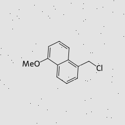 COc1cccc2c(CCl)cccc12